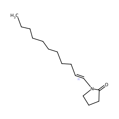 CCCCCCCCC/C=C/N1CCCC1=O